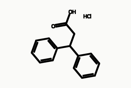 Cl.O=C(O)CC(c1ccccc1)c1ccccc1